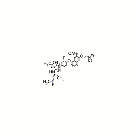 C=C/C(=C\C=C(/C)F)NC(=O)C1(C(=O)Nc2ccc(Oc3ncnc4cc(OCCN(CC)CC)c(OC)cc34)c(F)c2)CC1(C)C